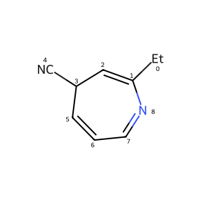 CCC1=CC(C#N)C=CC=N1